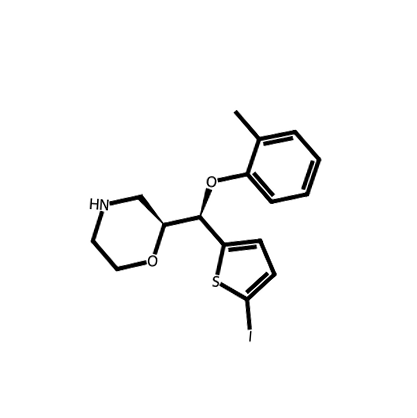 Cc1ccccc1O[C@@H](c1ccc(I)s1)[C@@H]1CNCCO1